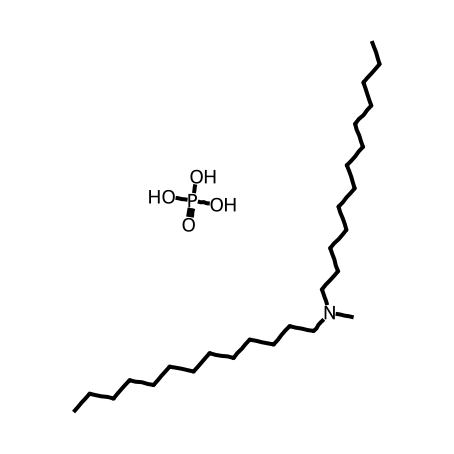 CCCCCCCCCCCCCN(C)CCCCCCCCCCCCC.O=P(O)(O)O